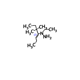 CC/C=C(\N(N)CC)C(C)(C)CC